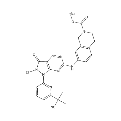 CCn1c(=O)c2cnc(Nc3ccc4c(c3)CN(C(=O)OC(C)(C)C)CC4)nc2n1-c1cccc(C(C)(C)C#N)n1